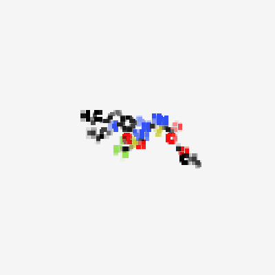 CCC1CCc2cc(N=Nc3nnc(C(=O)OCCOC)s3)c(NS(=O)(=O)CC(F)(F)F)cc2N1CC